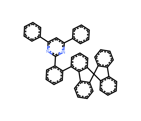 c1ccc(-c2cc(-c3ccccc3)nc(-c3ccccc3-c3cccc4c3-c3ccccc3C43c4ccccc4-c4ccccc43)n2)cc1